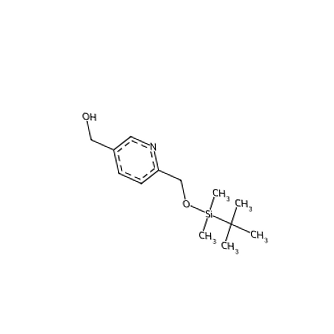 CC(C)(C)[Si](C)(C)OCc1ccc(CO)cn1